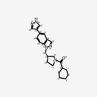 O=C(C1CCCCC1)N1CCC(Cn2ncc3cc(-c4cn[nH]c4)ccc32)C1